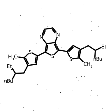 CCCCC(CC)Cc1cc(-c2sc(-c3cc(CC(CC)CCCC)c(C)s3)c3nccnc23)sc1C